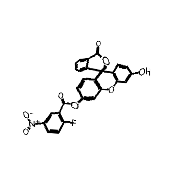 O=C(Oc1ccc2c(c1)Oc1cc(O)ccc1C21OC(=O)c2ccccc21)c1cc([N+](=O)[O-])ccc1F